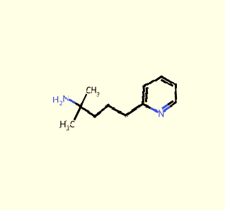 CC(C)(N)CCCc1ccccn1